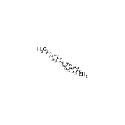 C/C=C/CC[C@H]1CC[C@H](CC/C=C/C2CCC([C@H]3CC[C@H](CC)CC3)CC2)CC1